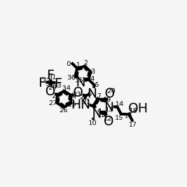 Cc1ccc(CN2c3c(n(C)c(=O)n(CCC(C)O)c3=O)NC2Oc2cccc(OC(F)(F)F)c2)nc1